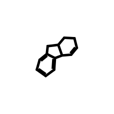 C1=CC2c3ccccc3CC2CC1